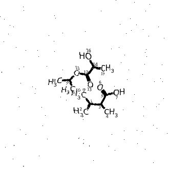 CC(C)C(C)C(=O)O.CC(C)OC(=O)C(C)O